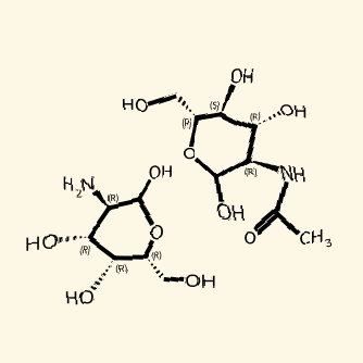 CC(=O)N[C@H]1C(O)O[C@H](CO)[C@@H](O)[C@@H]1O.N[C@H]1C(O)O[C@H](CO)[C@H](O)[C@@H]1O